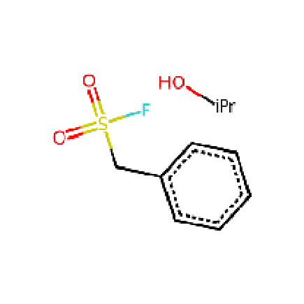 CC(C)O.O=S(=O)(F)Cc1ccccc1